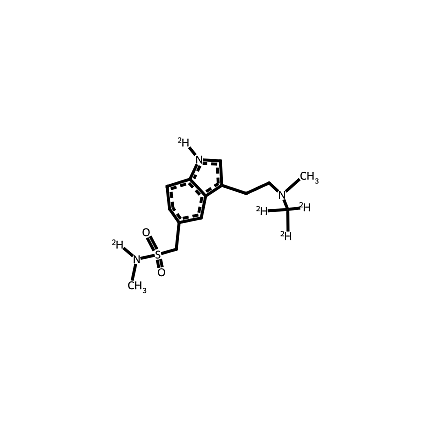 [2H]N(C)S(=O)(=O)Cc1ccc2c(c1)c(CCN(C)C([2H])([2H])[2H])cn2[2H]